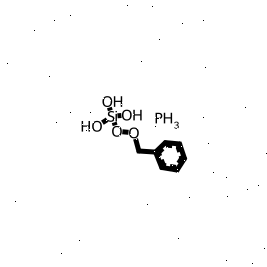 O[Si](O)(O)OOCc1ccccc1.P